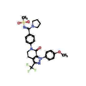 COc1ccc(-n2nc(C(F)(F)F)c3c2C(=O)N(c2ccc(C(=NS(C)(=O)=O)N4CCCC4)cc2)CC3)cc1